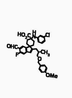 COc1ccc(COC[C@H](C)CC2=Cc3cc(F)c(C=O)cc3C23CCC(Nc2cccc(Cl)c2)(C(=O)O)CC3)cc1